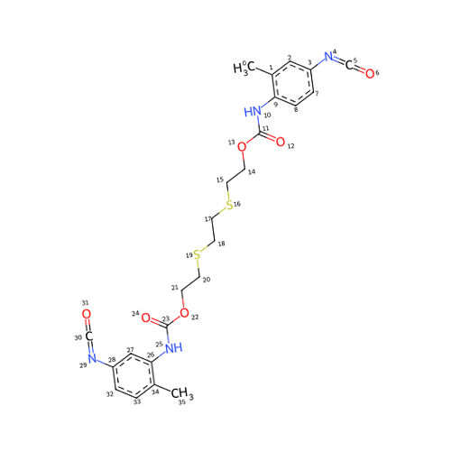 Cc1cc(N=C=O)ccc1NC(=O)OCCSCCSCCOC(=O)Nc1cc(N=C=O)ccc1C